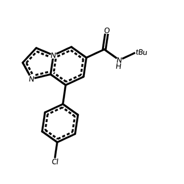 CC(C)(C)NC(=O)c1cc(-c2ccc(Cl)cc2)c2nccn2c1